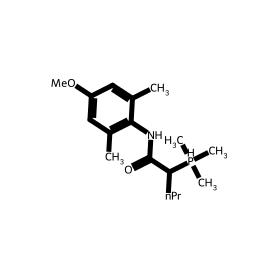 CCCC(C(=O)Nc1c(C)cc(OC)cc1C)[PH](C)(C)C